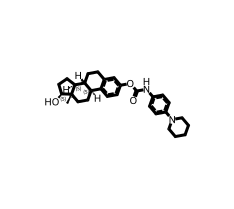 C[C@]12CC[C@@H]3c4ccc(OC(=O)Nc5ccc(N6CCCCC6)cc5)cc4CC[C@H]3[C@@H]1CC[C@@H]2O